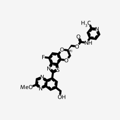 COc1cnc2c(-c3nc4c(F)cc5c(c4s3)OC[C@H](COC(=O)Nc3ccnc(C)c3)O5)cc(CO)cc2n1